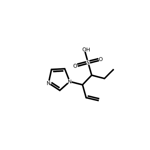 C=CC(C(CC)S(=O)(=O)O)n1ccnc1